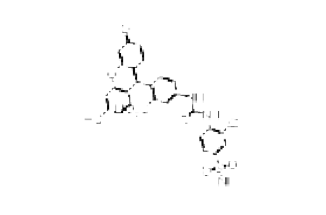 NS(=O)(=O)c1ccc(NC(=O)Nc2ccc(-c3c4ccc(=O)cc-4oc4cc(O)ccc34)c(C(=O)O)c2)c(Cl)c1